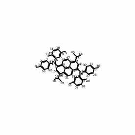 Cc1ccc(N(c2cc(C)ccc2C)c2cc(C(C)C)c3ccc4c(N(c5ccc(C)cc5)c5cc(C)ccc5C)cc(C(C)C)c5ccc2c3c54)cc1